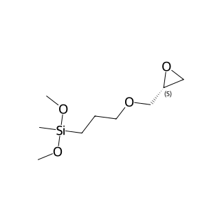 CO[Si](C)(CCCOC[C@H]1CO1)OC